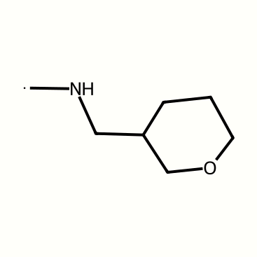 [CH2]NCC1CCCOC1